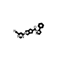 N#Cc1cc(N2CC3CC(C(=O)N4N=CCC4c4ccccc4)CC3C2)ncn1